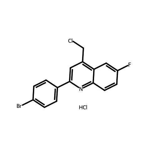 Cl.Fc1ccc2nc(-c3ccc(Br)cc3)cc(CCl)c2c1